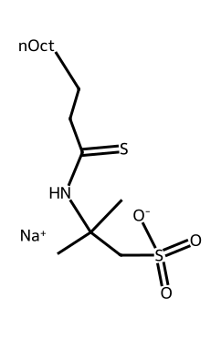 CCCCCCCCCCC(=S)NC(C)(C)CS(=O)(=O)[O-].[Na+]